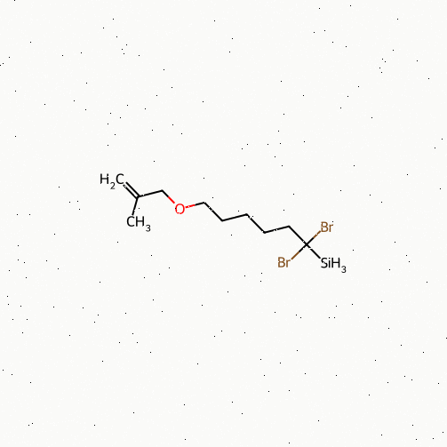 C=C(C)COCCCCCC([SiH3])(Br)Br